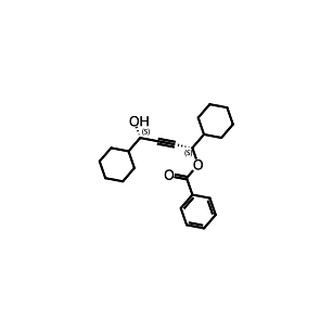 O=C(O[C@H](C#C[C@@H](O)C1CCCCC1)C1CCCCC1)c1ccccc1